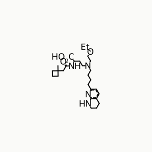 CCOCCN(CCCCc1ccc2c(n1)NCCC2)CCC(NC(=O)CC1(C)CCC1)C(=O)O